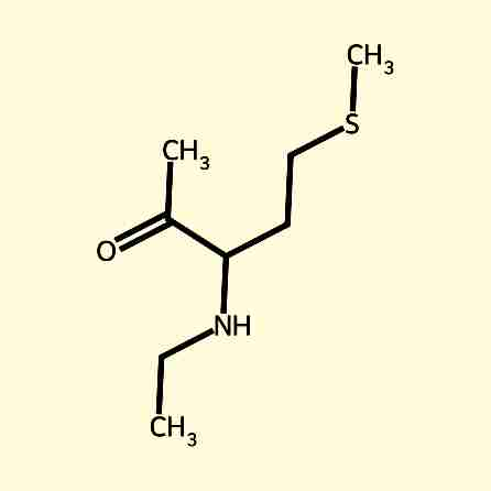 CCNC(CCSC)C(C)=O